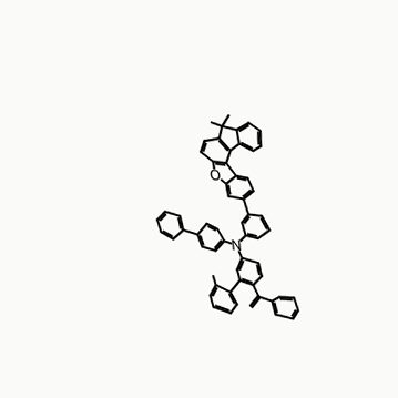 C=C(c1ccccc1)c1ccc(N(c2ccc(-c3ccccc3)cc2)c2cccc(-c3ccc4c(c3)oc3ccc5c(c34)-c3ccccc3C5(C)C)c2)cc1-c1ccccc1C